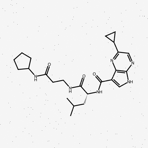 CC(C)C[C@@H](NC(=O)c1c[nH]c2ncc(C3CC3)nc12)C(=O)NCCC(=O)NC1CCCC1